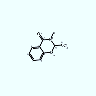 CN1C(=O)c2ccccc2OC1C(Cl)(Cl)Cl